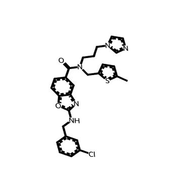 Cc1ccc(CN(CCCn2ccnc2)C(=O)c2ccc3oc(NCc4cccc(Cl)c4)nc3c2)s1